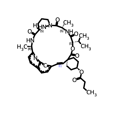 CCCC(=O)O[C@H]1CC[C@@]2(/C=C/c3ccc4ccc(nc4c3)[C@@H](C)NC(=O)[C@@H]3CCCN(N3)C(=O)[C@H](C)NC(=O)[C@H](C(C)C)OC2=O)CC1